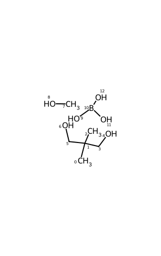 CC(C)(CO)CO.CO.OB(O)O